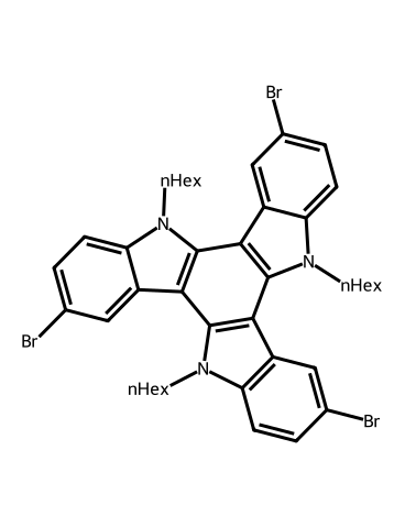 CCCCCCn1c2ccc(Br)cc2c2c1c1c3cc(Br)ccc3n(CCCCCC)c1c1c3cc(Br)ccc3n(CCCCCC)c21